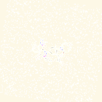 Cc1cc(NC(=O)C2(C(=O)OC(C)(C)C)CCOC2N)ccc1N1CCOCCC1=O